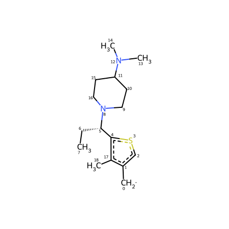 [CH2]c1csc([C@H](CC)N2CCC(N(C)C)CC2)c1C